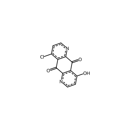 O=C1c2nccc(Cl)c2C(=O)c2nccc(O)c21